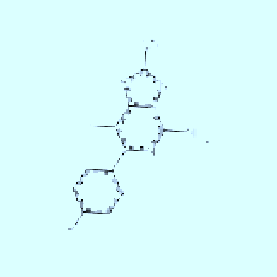 N#Cc1nc2c(I)c(-c3ccc(F)cc3)nc(N)n2n1